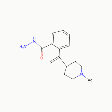 C=C(c1ccccc1C(=O)NN)C1CCN(C(C)=O)CC1